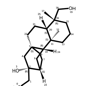 CC(=O)OC[C@@]1(O)C[C@]23CC[C@H]1C[C@H]2[C@]1(C)CCC[C@@](C)(CO)[C@H]1CC3